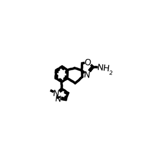 Cn1nccc1-c1cccc2c1CCC1(COC(N)=N1)C2